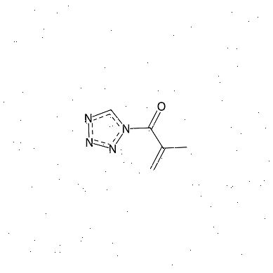 C=C(C)C(=O)n1cnnn1